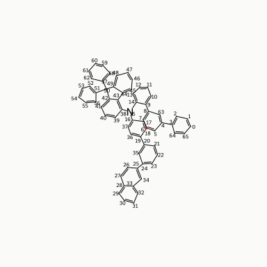 c1ccc(-c2cccc(-c3ccccc3N(c3ccc(-c4cccc(-c5ccc6ccccc6c5)c4)cc3)c3cccc4c3-c3ccccc3C4(c3ccccc3)c3ccccc3)c2)cc1